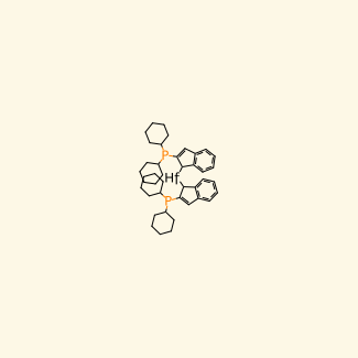 C1=C(P(C2CCCCC2)C2CCCCC2)[CH]([Hf][CH]2C(P(C3CCCCC3)C3CCCCC3)=Cc3ccccc32)c2ccccc21